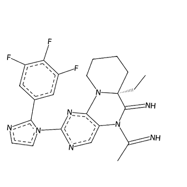 CC[C@@]12CCCCN1c1nc(-n3ccnc3-c3cc(F)c(F)c(F)c3)ncc1N(C(C)=N)C2=N